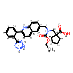 CCOC(=O)N(Cc1ccc2nc(-c3ccccc3-c3nnn[nH]3)ccc2c1)CC1(C(=O)O)CCCC1